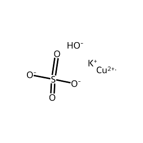 O=S(=O)([O-])[O-].[Cu+2].[K+].[OH-]